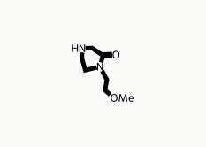 COCCN1CCNCC1=O